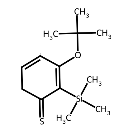 CC(C)(C)OC1=C([Si](C)(C)C)C(=S)CC=[C]1